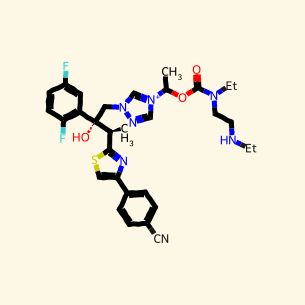 CCNCCN(CC)C(=O)OC(C)[n+]1cnn(C[C@](O)(c2cc(F)ccc2F)[C@@H](C)c2nc(-c3ccc(C#N)cc3)cs2)c1